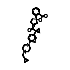 O=C1O[C@]2(CCN(C(=O)C3(c4ccc(N5CCN(CC6CC6)CC5)nc4)CC3)C2)c2ccccc21